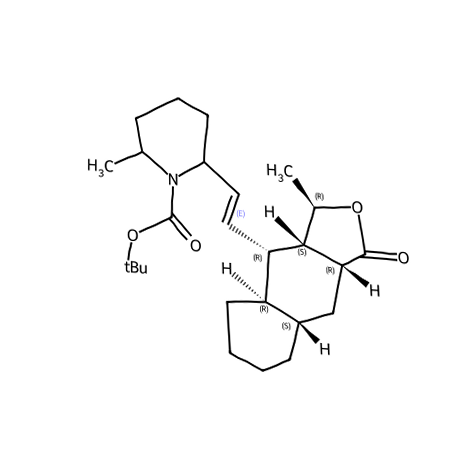 CC1CCCC(/C=C/[C@H]2[C@@H]3CCCC[C@H]3C[C@H]3C(=O)O[C@H](C)[C@@H]23)N1C(=O)OC(C)(C)C